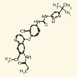 C=CC(=O)Nc1cc2c(Oc3ccc(NC(=O)Nc4cc(C(C)(C)C)n[nH]4)cc3Cl)ccnc2cc1OC